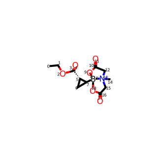 CCOC(=O)[C@H]1CC1[B-]12OC(=O)C[N+]1(C)CC(=O)O2